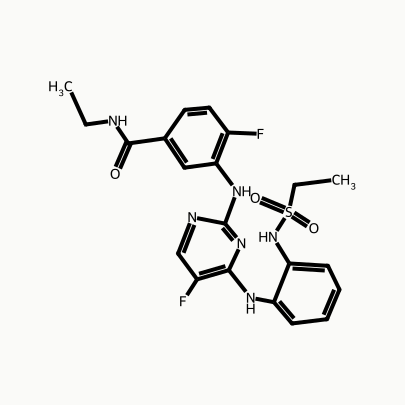 CCNC(=O)c1ccc(F)c(Nc2ncc(F)c(Nc3ccccc3NS(=O)(=O)CC)n2)c1